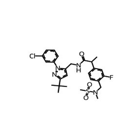 CC(C(=O)NCc1cc(C(C)(C)C)nn1-c1cccc(Cl)c1)c1ccc(CN(C)S(C)(=O)=O)c(F)c1